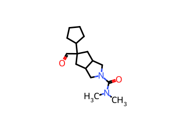 CN(C)C(=O)N1CC2CC(C=O)(C3CCCC3)CC2C1